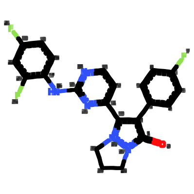 O=c1c(-c2ccc(F)cc2)c(-c2ccnc(Nc3ccc(F)cc3F)n2)n2n1CCC2